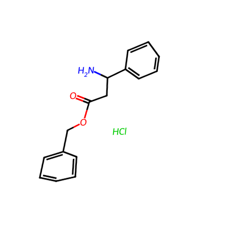 Cl.NC(CC(=O)OCc1ccccc1)c1ccccc1